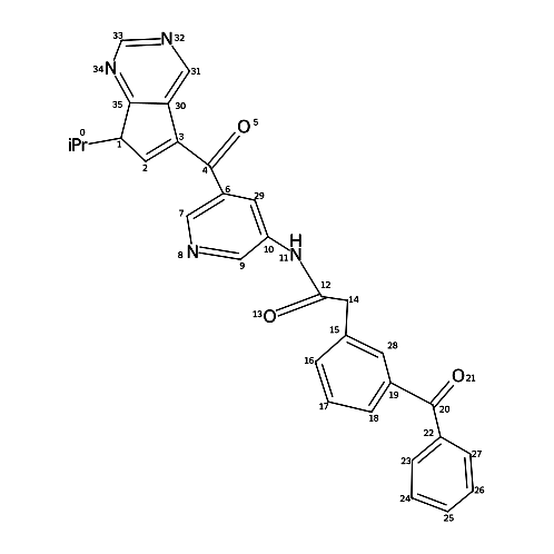 CC(C)C1C=C(C(=O)c2cncc(NC(=O)Cc3cccc(C(=O)c4ccccc4)c3)c2)c2cncnc21